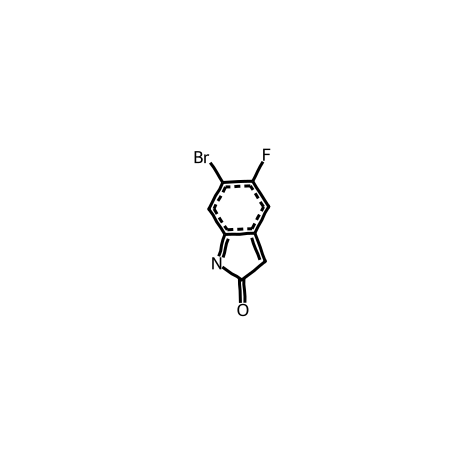 O=C1C=c2cc(F)c(Br)cc2=N1